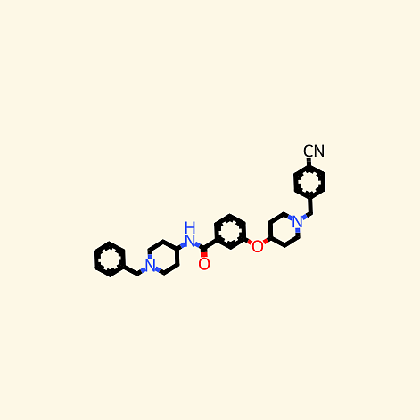 N#Cc1ccc(CN2CCC(Oc3cccc(C(=O)NC4CCN(Cc5ccccc5)CC4)c3)CC2)cc1